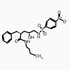 CCCCNC(=O)[C@@H](Cc1ccccc1)C[C@H](O)CNS(=O)(=O)c1ccc([N+](=O)[O-])cc1